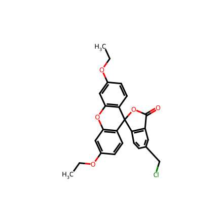 CCOc1ccc2c(c1)Oc1cc(OCC)ccc1C21OC(=O)c2cc(CCl)ccc21